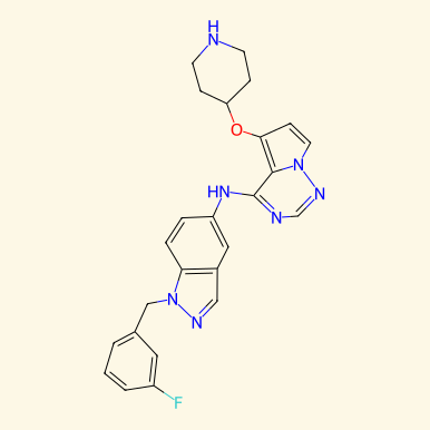 Fc1cccc(Cn2ncc3cc(Nc4ncnn5ccc(OC6CCNCC6)c45)ccc32)c1